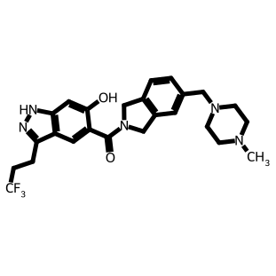 CN1CCN(Cc2ccc3c(c2)CN(C(=O)c2cc4c(CCC(F)(F)F)n[nH]c4cc2O)C3)CC1